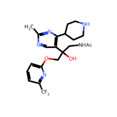 CC(=O)NCC(O)(COc1cccc(C(F)(F)F)n1)c1cnc(C)nc1C1CCNCC1